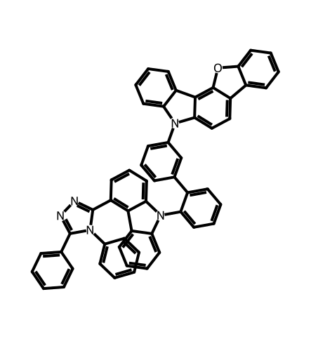 c1ccc(-c2nnc(-c3cccc4c3c3ccccc3n4-c3ccccc3-c3cccc(-n4c5ccccc5c5c6oc7ccccc7c6ccc54)c3)n2-c2ccccc2)cc1